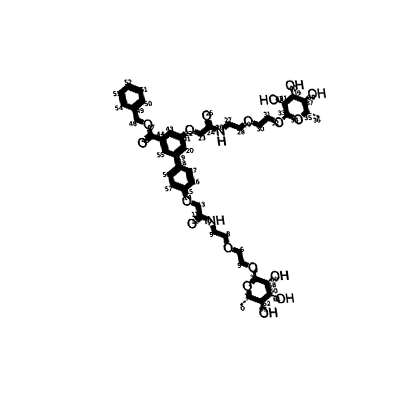 C[C@@H]1O[C@@H](OCCOCCNC(=O)COc2ccc(-c3cc(OCC(=O)NCCOCCO[C@@H]4O[C@@H](C)[C@H](O)[C@@H](O)[C@H]4O)cc(C(=O)OCc4ccccc4)c3)cc2)[C@H](O)[C@H](O)[C@H]1O